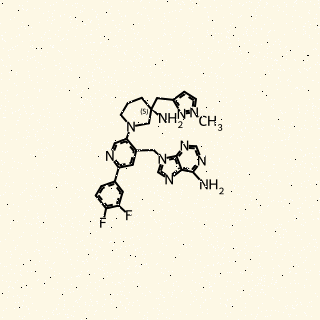 Cn1ccc(C[C@@]2(N)CCCN(c3cnc(-c4ccc(F)c(F)c4)cc3Cn3cnc4c(N)ncnc43)C2)n1